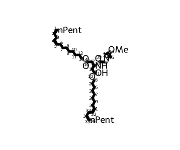 CCCCC/C=C\C/C=C\CCCCCCCCOC(=O)CC(CC(O)OCCCCCCCC/C=C\C/C=C\CCCCC)NC(=O)CN1CC(OC)C1